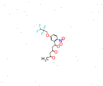 CC(=O)CC(=O)CC(=O)c1cc(OCC(F)(F)C(F)F)ccc1[N+](=O)[O-]